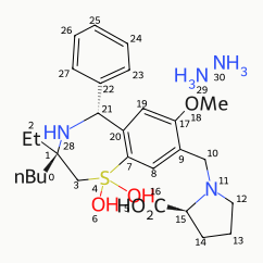 CCCC[C@]1(CC)CS(O)(O)c2cc(CN3CCC[C@H]3C(=O)O)c(OC)cc2[C@@H](c2ccccc2)N1.N.N